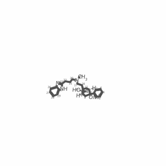 CO[C@@]1(c2ccccc2)C[C@H]2CC[C@@H]1C[C@@]2(O)CCN(C)CCCc1nc2ccccc2[nH]1